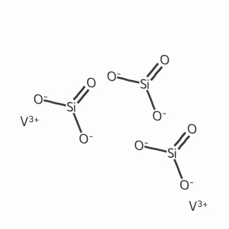 O=[Si]([O-])[O-].O=[Si]([O-])[O-].O=[Si]([O-])[O-].[V+3].[V+3]